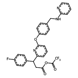 O=C(CC(c1ccc(F)cc1)c1cccc(Oc2ccc(CNc3ccccn3)cc2)n1)OC(=O)C(F)(F)F